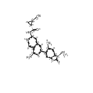 CPn1c(=O)oc2cc(-c3cc4cc(NC(=O)[C@@H]5C[C@H]5C#N)ncc4c(N)n3)c(C)cc21